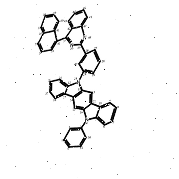 c1ccc(-n2c3ccccc3c3cc4c(cc32)c2ccccc2n4-c2cccc(-c3nc(-c4cccc5ccccc45)c4ccccc4n3)c2)cc1